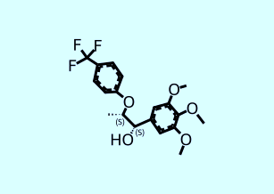 COc1cc([C@H](O)[C@H](C)Oc2ccc(C(F)(F)F)cc2)cc(OC)c1OC